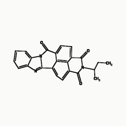 CCC(C)N1C(=O)c2ccc3c(=O)n4c5ccccc5nc4c4ccc(c2c34)C1=O